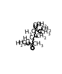 C=C/C=C\C(=C/C)N(/C(C)=C/C=C(C)/C(C=C)=C/C=C(\C)N(C(/C=C\C)=C/C=C)C(/C=C\C)=C/C=C)c1ccccc1